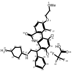 COCCOc1ccc(C(N)=O)c(-c2cc(C(CNC3CCC(N)CC3)c3ccccc3)c(Cl)cc2Cl)c1F.O=C(O)C(F)(F)F